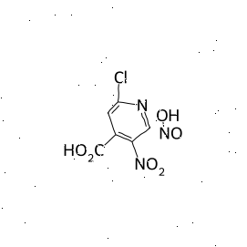 O=C(O)c1cc(Cl)ncc1[N+](=O)[O-].O=NO